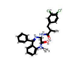 CC(C)C(Cc1ccc(Cl)c(Cl)c1)C(=O)N[C@H]1N=C(c2ccccc2)c2ccccc2N(C)C1=O